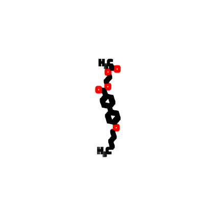 CCCCCOc1ccc(-c2ccc(C(=O)OCCOC(C)=O)cc2)cc1